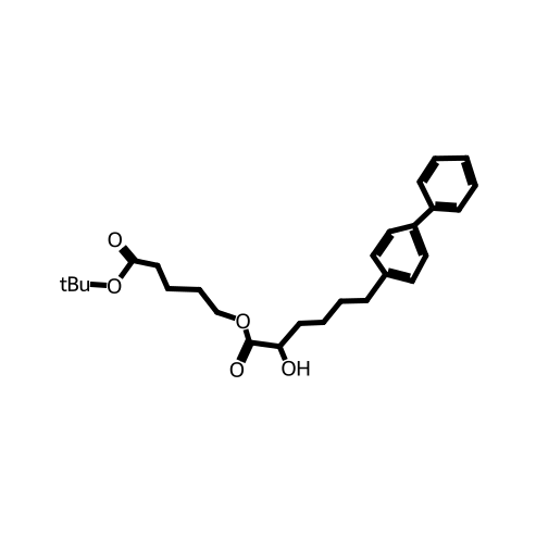 CC(C)(C)OC(=O)CCCCOC(=O)C(O)CCCCc1ccc(-c2ccccc2)cc1